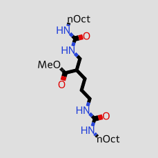 CCCCCCCCNC(=O)NCCCC(CNC(=O)NCCCCCCCC)C(=O)OC